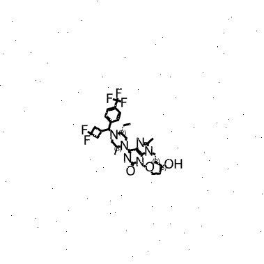 CC[C@@H]1CN(c2nc(=O)n(C)c3c2nc(C)n3C[C@H]2OCC[C@@H]2O)[C@@H](C)CN1C(c1ccc(C(F)(F)F)cc1)C1CC(F)(F)C1